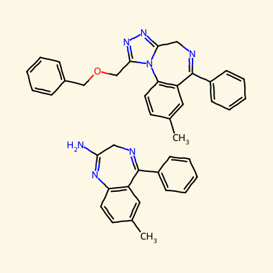 Cc1ccc2c(c1)C(c1ccccc1)=NCC(N)=N2.Cc1ccc2c(c1)C(c1ccccc1)=NCc1nnc(COCc3ccccc3)n1-2